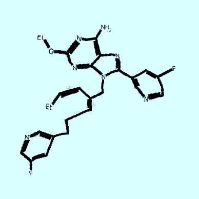 CC/C=C\C(=C/CCc1cncc(F)c1)Cn1c(-c2cncc(F)c2)nc2c(N)nc(OCC)nc21